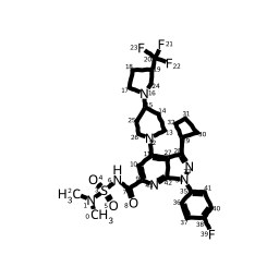 CN(C)S(=O)(=O)NC(=O)c1cc(N2CCC(N3CCC(C(F)(F)F)C3)CC2)c2c(C3CCC3)nn(-c3ccc(F)cc3)c2n1